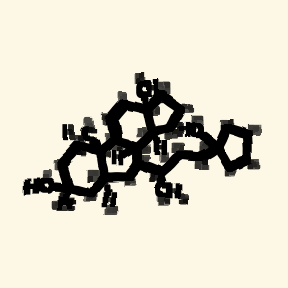 CC[C@]1(O)CC[C@]2(C)C3=CC[C@@]4(C)CCC[C@H]4[C@@H]3C([C@H](C)CCC3(O)CCCC3)C[C@H]2C1